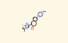 CCN1CCN(c2ccc3c(c2)CCC(=O)C(c2cn4c(C)csc4n2)=C3)CC1